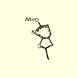 COc1ccc2c(n1)OC(C)C2